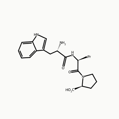 CC(C)[C@H](NC(=O)[C@@H](N)Cc1c[nH]c2ccccc12)C(=O)N1CCC[C@H]1C(=O)O